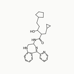 O=C(NC1CNc2ccccc2C(c2ccccn2)=N1)C(CC1CC1)C(O)CCC1CCCC1